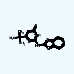 CC(C)(C)c1cc(=O)[nH]c(Nc2nc3ccccc3s2)n1